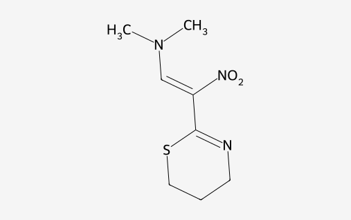 CN(C)C=C(C1=NCCCS1)[N+](=O)[O-]